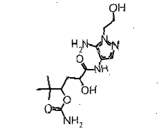 CC(C)(C)C(C[C@H](O)C(=O)Nc1cnn(CCO)c1N)OC(N)=O